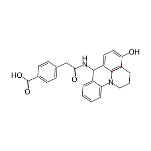 O=C(Cc1ccc(C(=O)O)cc1)NC(c1ccc(O)cc1)c1ccccc1N1CCCCC1